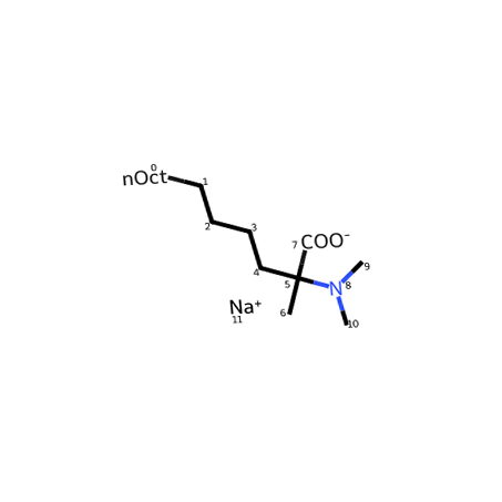 CCCCCCCCCCCCC(C)(C(=O)[O-])N(C)C.[Na+]